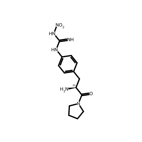 N=C(Nc1ccc(C[C@H](N)C(=O)N2CCCC2)cc1)N[N+](=O)[O-]